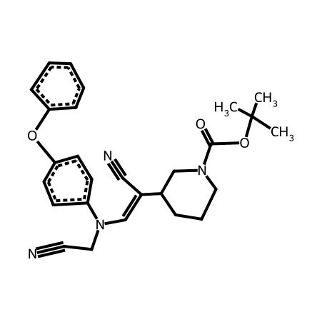 CC(C)(C)OC(=O)N1CCCC(/C(C#N)=C/N(CC#N)c2ccc(Oc3ccccc3)cc2)C1